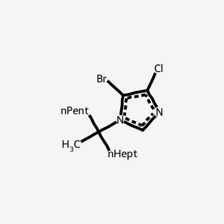 CCCCCCCC(C)(CCCCC)n1cnc(Cl)c1Br